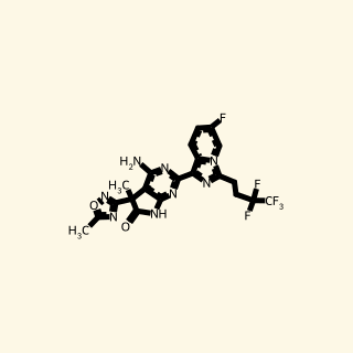 Cc1nc(C2(C)C(=O)Nc3nc(-c4nc(CCC(F)(F)C(F)(F)F)n5cc(F)ccc45)nc(N)c32)no1